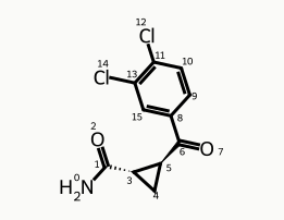 NC(=O)[C@H]1C[C@@H]1C(=O)c1ccc(Cl)c(Cl)c1